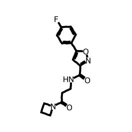 O=C(NCCC(=O)N1CCC1)c1cc(-c2ccc(F)cc2)on1